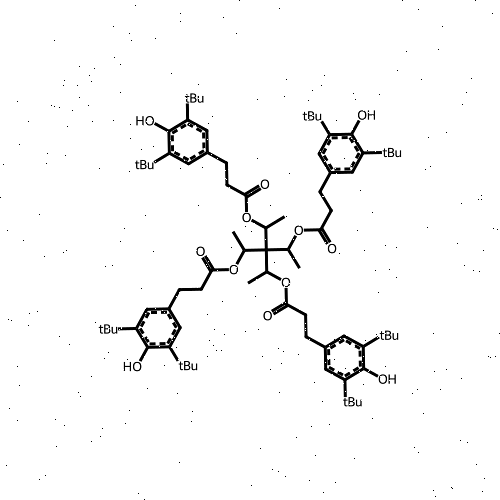 CC(OC(=O)CCc1cc(C(C)(C)C)c(O)c(C(C)(C)C)c1)C(C(C)OC(=O)CCc1cc(C(C)(C)C)c(O)c(C(C)(C)C)c1)(C(C)OC(=O)CCc1cc(C(C)(C)C)c(O)c(C(C)(C)C)c1)C(C)OC(=O)CCc1cc(C(C)(C)C)c(O)c(C(C)(C)C)c1